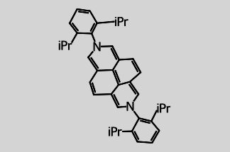 CC(C)c1cccc(C(C)C)c1N1C=c2ccc3c4c(ccc(c24)=C1)=CN(c1c(C(C)C)cccc1C(C)C)C=3